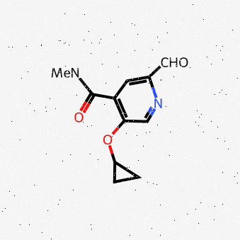 CNC(=O)c1cc(C=O)ncc1OC1CC1